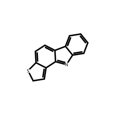 C1=c2c(ccc3c2=Nc2ccccc2-3)SC1